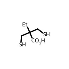 CCC(CS)(CS)C(=O)O